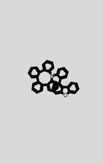 c1ccc(-n2c3ccccc3c3ccccc3c3ccccc3c3ccccc32)c(-c2cccc3oc4ccccc4c23)c1